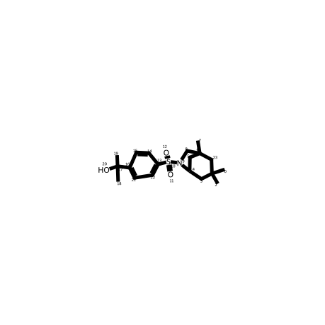 CC1(C)CC2CC(C)(CN2S(=O)(=O)c2ccc(C(C)(C)O)cc2)C1